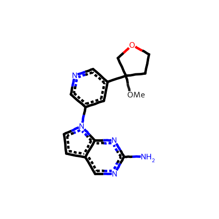 COC1(c2cncc(-n3ccc4cnc(N)nc43)c2)CCOC1